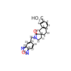 O=C(O)c1ccc2c(c1)C[C@@]1(CC2)CCN(Cc2ccc3nonc3c2)C1=O